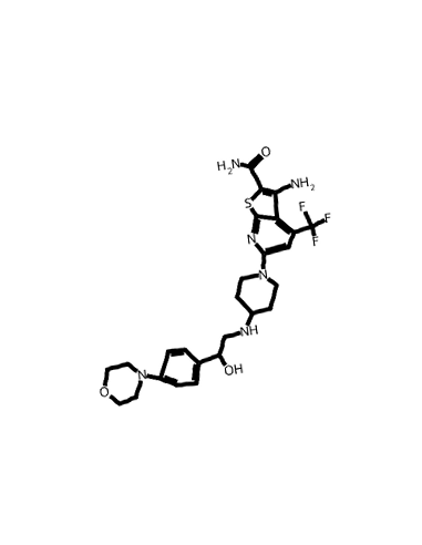 NC(=O)c1sc2nc(N3CCC(NCC(O)c4ccc(N5CCOCC5)cc4)CC3)cc(C(F)(F)F)c2c1N